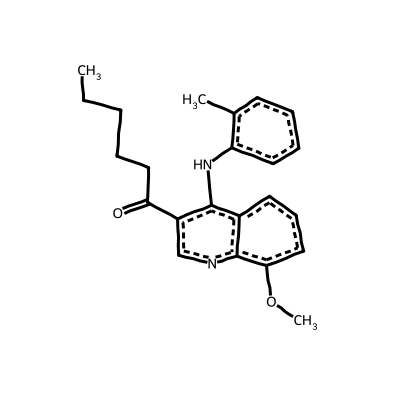 CCCCCC(=O)c1cnc2c(OC)cccc2c1Nc1ccccc1C